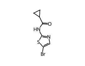 O=C(Nc1ncc(Br)s1)C1CC1